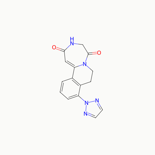 O=C1C=C2c3cccc(-n4nccn4)c3CCN2C(=O)CN1